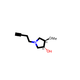 C#CCCN1C[C@@H](O)[C@H](OC)C1